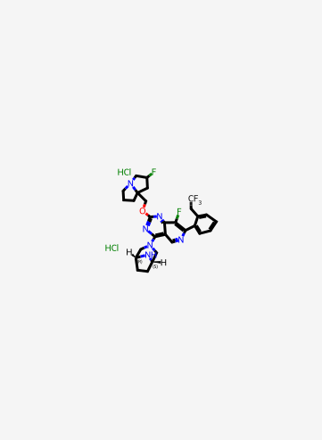 Cl.Cl.Fc1c(-c2ccccc2CC(F)(F)F)ncc2c(N3C[C@H]4CC[C@@H](C3)N4)nc(OCC34CCCN3CC(F)C4)nc12